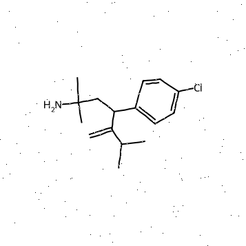 C=C(C(C)C)C(CC(C)(C)N)c1ccc(Cl)cc1